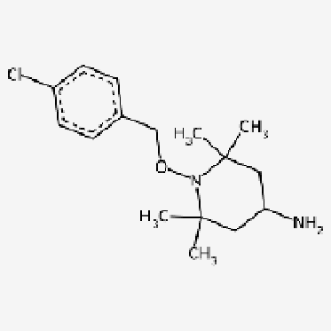 CC1(C)CC(N)CC(C)(C)N1OCc1ccc(Cl)cc1